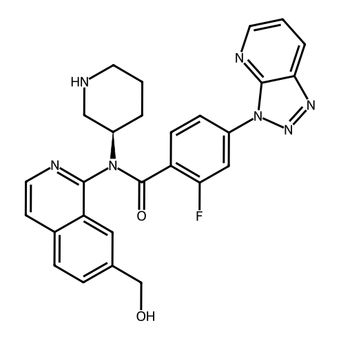 O=C(c1ccc(-n2nnc3cccnc32)cc1F)N(c1nccc2ccc(CO)cc12)[C@@H]1CCCNC1